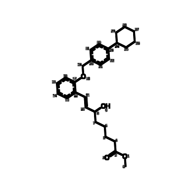 COC(=O)CCCCC(O)/C=C/c1ccccc1OCc1ccc(C2CCCCC2)cc1